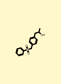 CC(O)Cc1ccc(CS(=O)(=O)c2ccccc2)cc1